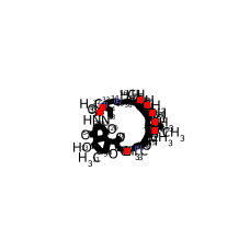 CO[C@H]1/C=C/O[C@@]2(C)Oc3c(C)c(O)c4c(c3C2=O)C(=O)C(N2CCCC2)=C(NC(=O)/C(C)=C\C=C\[C@H](C)[C@H](O)[C@@H](C)[C@@H](O)[C@@H](C)[C@H](OC(C)=O)[C@@H]1C)C4=O